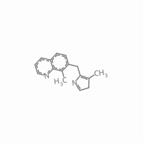 CC1=C(Cc2ccc3cccnc3c2C)N=CC1